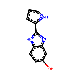 Oc1ccc2[nH]c(-c3ccc[nH]3)nc2c1